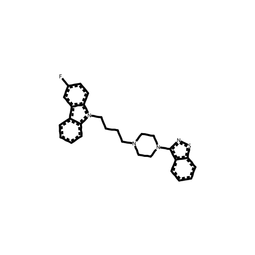 Fc1ccc2c(c1)c1ccccc1n2CCCCN1CCN(c2nsc3ccccc23)CC1